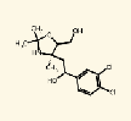 CC1(C)N[C@](C)(CC(O)c2ccc(Cl)c(Cl)c2)C(CO)O1